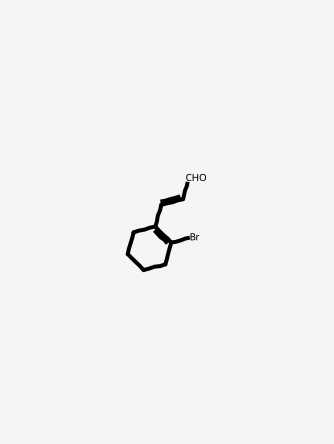 O=CC=CC1=C(Br)CCCC1